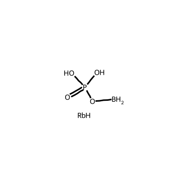 BOP(=O)(O)O.[RbH]